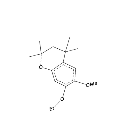 CCOc1cc2c(cc1OC)C(C)(C)CC(C)(C)O2